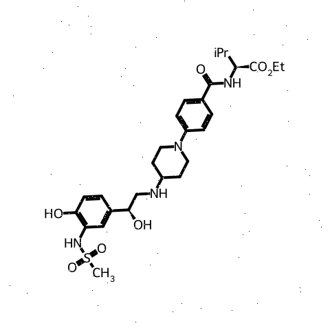 CCOC(=O)[C@@H](NC(=O)c1ccc(N2CCC(NC[C@@H](O)c3ccc(O)c(NS(C)(=O)=O)c3)CC2)cc1)C(C)C